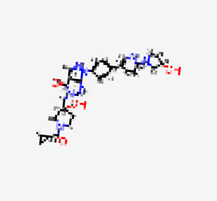 O=C(C1CC1)N1CCC(O)(Cn2cnc3c(cnn3-c3ccc(-c4ccc(N5CCC(O)C5)nc4)cc3)c2=O)CC1